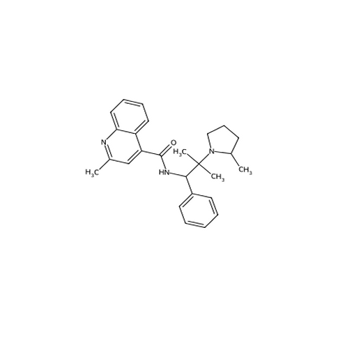 Cc1cc(C(=O)NC(c2ccccc2)C(C)(C)N2CCCC2C)c2ccccc2n1